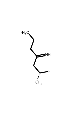 [CH2]CCC(=N)C[C@@H](C)F